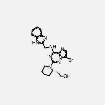 OCC[C@@H]1CCCCN1c1nc(NCc2nc3ccccc3[nH]2)c2ncc(Br)n2n1